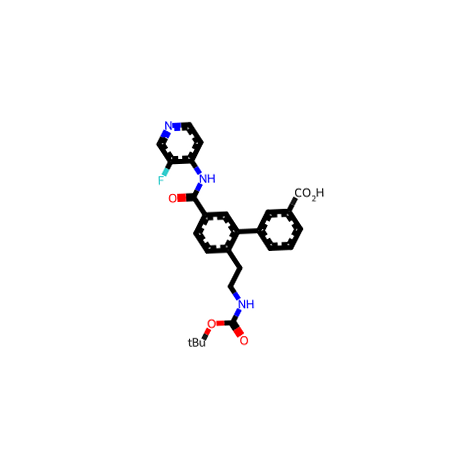 CC(C)(C)OC(=O)NCCc1ccc(C(=O)Nc2ccncc2F)cc1-c1cccc(C(=O)O)c1